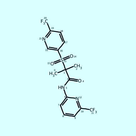 CC(C)(C(=O)Nc1cccc(C(F)(F)F)n1)S(=O)(=O)c1ccc(C(F)(F)F)nc1